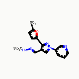 CCOC(=O)NN=Cc1cn(-c2cccnc2)nc1-c1ccc([N+](=O)[O-])o1